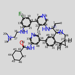 C/C=C(/Nc1cncc(-c2cc(F)cc(NCCN(C)C)c2)c1C)C1=NC[C@H]2C[C@@H]2c2ccc(-c3cncc(NC(=O)C4CCCCC4)c3)cc21